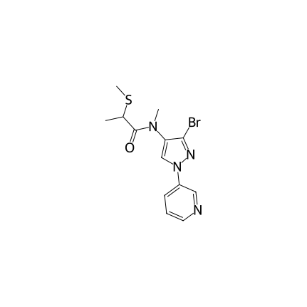 CSC(C)C(=O)N(C)c1cn(-c2cccnc2)nc1Br